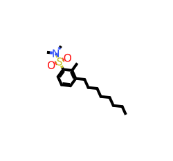 CCCCCCCCc1cccc(S(=O)(=O)N(C)C)c1C